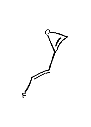 FC=CC1=CO1